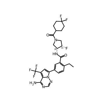 CCc1ccc(-c2cc(C(F)(F)F)c3c(N)ncnn23)cc1C(=O)N[C@@H]1CN(C(=O)C2CCC(F)(F)CC2)C[C@@H]1F